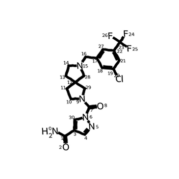 NC(=O)c1cnn(C(=O)N2CCC3(CCN(Cc4cc(Cl)cc(C(F)(F)F)c4)C3)C2)c1